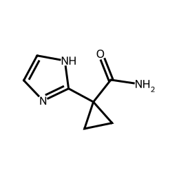 NC(=O)C1(c2ncc[nH]2)CC1